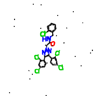 O=C(Cn1nc(-c2ccc(Cl)cc2Cl)c(-c2ccc(Cl)cc2Cl)n1)NCc1ccccc1Cl